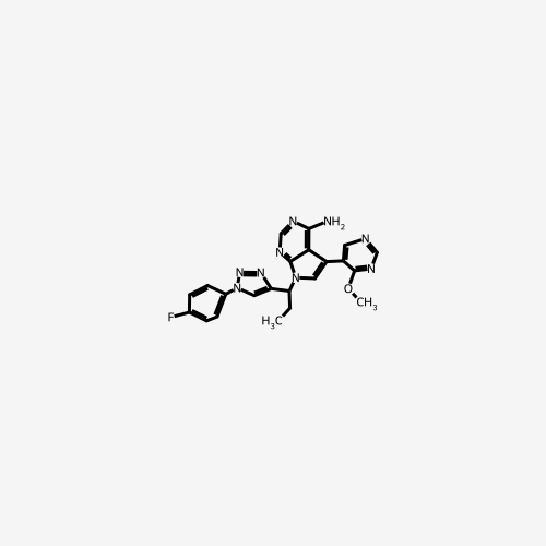 CCC(c1cn(-c2ccc(F)cc2)nn1)n1cc(-c2cncnc2OC)c2c(N)ncnc21